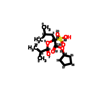 CC(C)CC(OC(=O)C(C)C)(C(=O)OC1CCCC1)S(=O)(=O)O